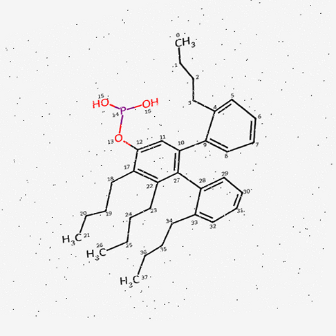 CCCCc1ccccc1-c1cc(OP(O)O)c(CCCC)c(CCCC)c1-c1ccccc1CCCC